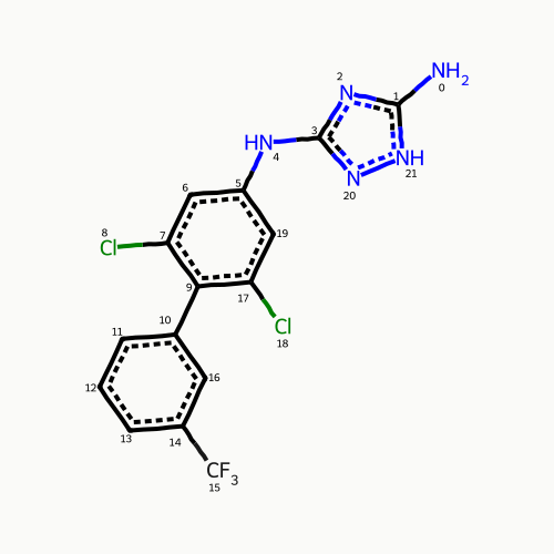 Nc1nc(Nc2cc(Cl)c(-c3cccc(C(F)(F)F)c3)c(Cl)c2)n[nH]1